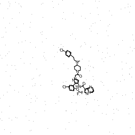 CN(CCc1ccc(Cl)cc1)C1CCN(C(=O)Cn2cc(NC(=O)c3cnn4cccnc34)c(-c3cc(Cl)ccc3OC(F)F)n2)CC1